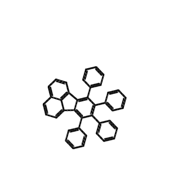 c1ccc(-c2c(-c3ccccc3)c(-c3ccccc3)c3c(c2-c2ccccc2)-c2cccc4cccc-3c24)cc1